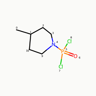 CC1CCN(P(=O)(Cl)Cl)CC1